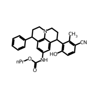 CCCOC(=O)Nc1cc2c3c(c1)C(c1c(O)ccc(C#N)c1C)CCN3CCC2c1ccccc1